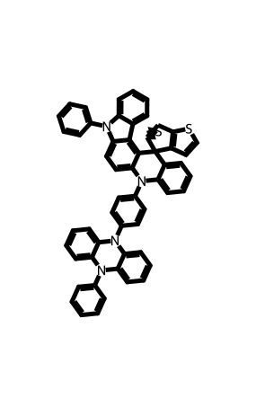 c1ccc(N2c3ccccc3N(c3ccc(N4c5ccccc5C5(c6ccsc6-c6sccc65)c5c4ccc4c5c5ccccc5n4-c4ccccc4)cc3)c3ccccc32)cc1